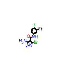 CCc1cc(NC(=O)c2c(Br)nn(C)c2N)ccc1F